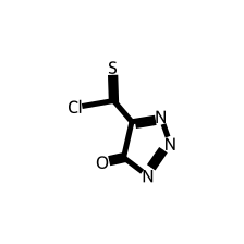 O=C1N=NN=C1C(=S)Cl